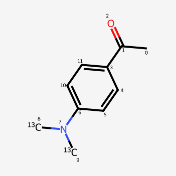 CC(=O)c1ccc(N([13CH3])[13CH3])cc1